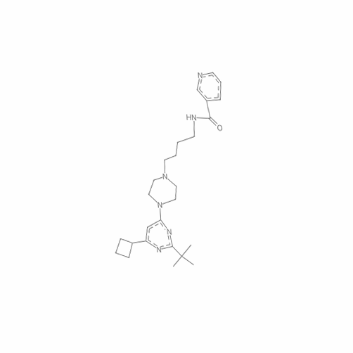 CC(C)(C)c1nc(C2CCC2)cc(N2CCN(CCCCNC(=O)c3cccnc3)CC2)n1